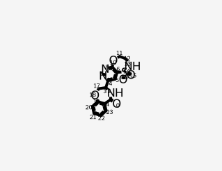 O=C1NC(c2cc3c(nn2)OCCNS3(=O)=O)COc2ccccc21